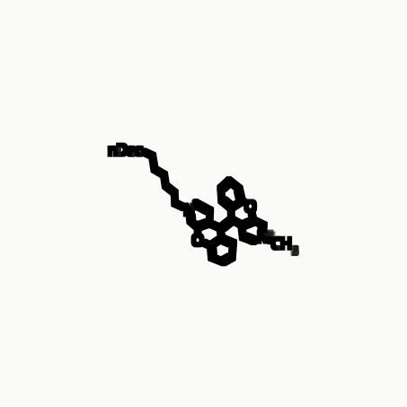 CCCCCCCCCCCCCCCC[n+]1ccc2c(c1)Oc1ccccc1/C2=C1/c2ccccc2Oc2c[n+](C)ccc21